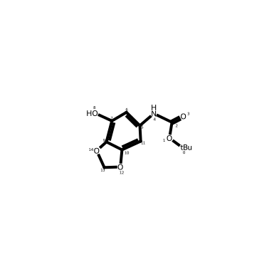 CC(C)(C)OC(=O)Nc1cc(O)c2c(c1)OCO2